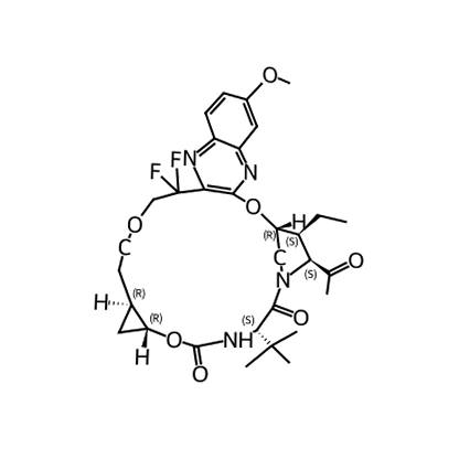 CC[C@@H]1[C@@H]2CN(C(=O)[C@H](C(C)(C)C)NC(=O)O[C@@H]3C[C@H]3CCOCC(F)(F)c3nc4ccc(OC)cc4nc3O2)[C@@H]1C(C)=O